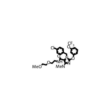 CNc1nc(Oc2cccc(OC(F)(F)F)c2)n(Cc2ccc(Cl)cc2)c1C(=O)NCCOCCOC